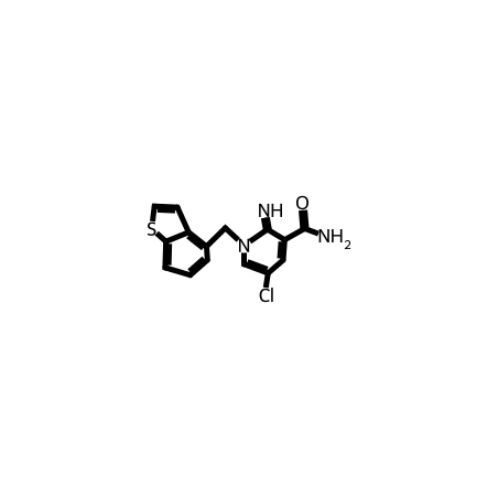 N=c1c(C(N)=O)cc(Cl)cn1Cc1cccc2sccc12